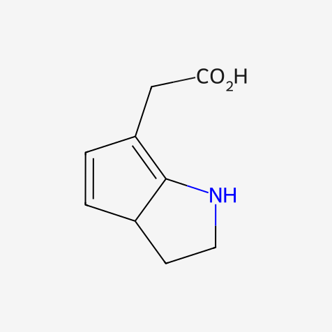 O=C(O)CC1=C2NCCC2C=C1